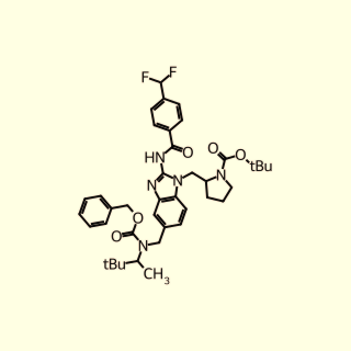 CC(N(Cc1ccc2c(c1)nc(NC(=O)c1ccc(C(F)F)cc1)n2CC1CCCN1C(=O)OC(C)(C)C)C(=O)OCc1ccccc1)C(C)(C)C